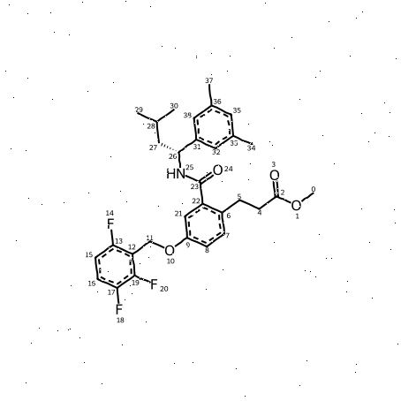 COC(=O)CCc1ccc(OCc2c(F)ccc(F)c2F)cc1C(=O)N[C@H](CC(C)C)c1cc(C)cc(C)c1